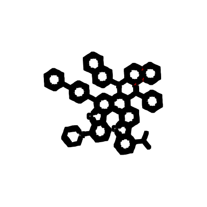 CC(C)c1cccc2oc3c(ccc4c(C(=Nc5ccccc5)c5ccccc5)c(N(c5ccccc5)c5ccc6ccccc6c5)c5cc(-c6ccc(-c7ccccc7)cc6)c6oc7c(N8C=CC=CC8)cccc7c6c5c43)c12